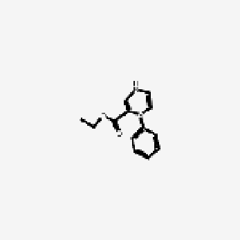 CCOC(=O)C1=CNC=CN1c1ccccc1